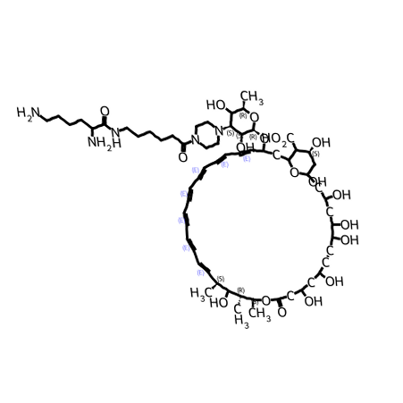 C[C@@H]1OC(=O)CC(O)CC(O)CCC(O)C(O)CC(O)CC2(O)C[C@H](O)C(C(=O)O)C(CC(O[C@@H]3O[C@H](C)C(O)[C@H](N4CCN(C(=O)CCCCCNC(=O)C(N)CCCCN)CC4)[C@@H]3O)/C=C/C=C/C=C/C=C/C=C/C=C/C=C/[C@H](C)C(O)[C@H]1C)O2